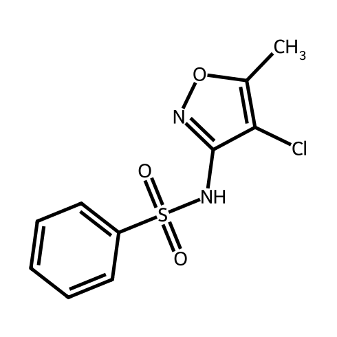 Cc1onc(NS(=O)(=O)c2ccccc2)c1Cl